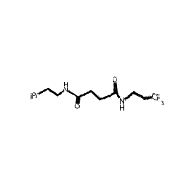 CC(C)CCNC(=O)CCC(=O)NCCC(F)(F)F